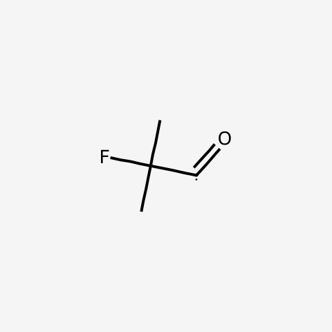 CC(C)(F)[C]=O